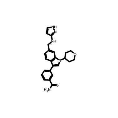 NC(=S)c1cccc(-c2cn(C3CCOCC3)c3cc(CNc4cc[nH]n4)ccc23)c1